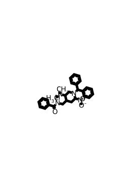 CN(C)C1CN(C(c2ccccc2)c2ccccc2)C([N+](=O)[O-])CC1CNC(=O)c1ccccc1